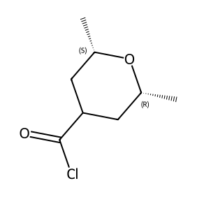 C[C@@H]1CC(C(=O)Cl)C[C@H](C)O1